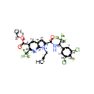 C#CCn1c(C(=O)NC(c2cc(Cl)c(F)c(Cl)c2)C(F)(F)F)cc2cc(C(=O)OCC)c(C(F)(F)F)nc21